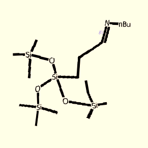 CCCC/N=C/CC[Si](O[Si](C)(C)C)(O[Si](C)(C)C)O[Si](C)(C)C